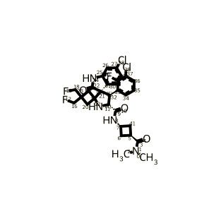 CN(C)C(=O)[C@H]1C[C@H](NC(=O)[C@@H]2NC3(CC(CF)(CF)C3)[C@@]3(C(=O)Nc4cc(Cl)ccc43)[C@H]2c2cccc(Cl)c2F)C1